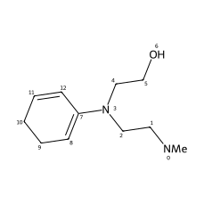 CNCCN(CCO)C1=CCCC=C1